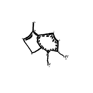 CCCc1ccc2c(c1Br)CC=C2C